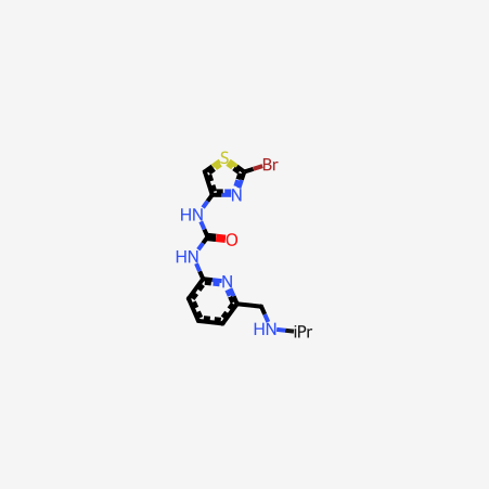 CC(C)NCc1cccc(NC(=O)Nc2csc(Br)n2)n1